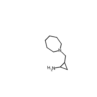 NC1CC1CN1CCCCCC1